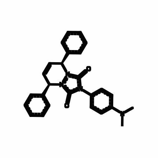 CN(C)c1ccc(-n2c(=O)n3n(c2=O)[C@H](c2ccccc2)C=C[C@@H]3c2ccccc2)cc1